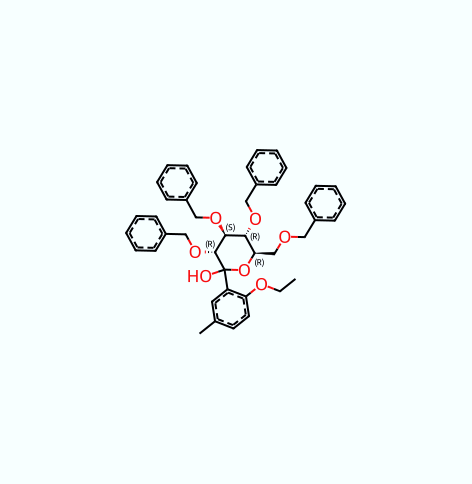 CCOc1ccc(C)cc1C1(O)O[C@H](COCc2ccccc2)[C@@H](OCc2ccccc2)[C@H](OCc2ccccc2)[C@H]1OCc1ccccc1